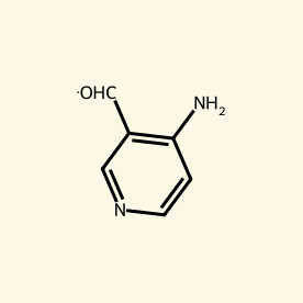 Nc1ccncc1[C]=O